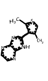 Cc1csc(C)c1-c1nc2nccnc2[nH]1